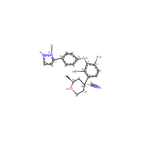 C[C@H]1C[C@@](C#N)(c2ccc(F)c(Sc3ccc(-c4ccnn4C)cc3)c2F)CCO1